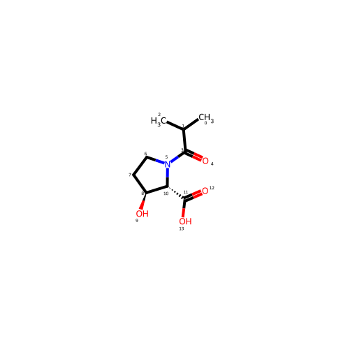 CC(C)C(=O)N1CC[C@H](O)[C@H]1C(=O)O